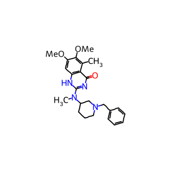 COc1cc2[nH]c(N(C)C3CCCN(Cc4ccccc4)C3)nc(=O)c2c(C)c1OC